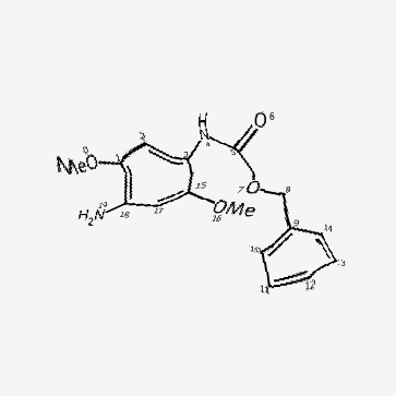 COc1cc(NC(=O)OCc2ccccc2)c(OC)cc1N